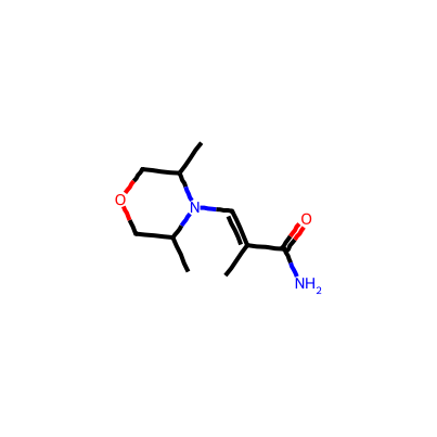 C/C(=C\N1C(C)COCC1C)C(N)=O